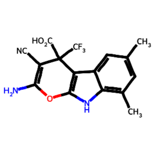 Cc1cc(C)c2[nH]c3c(c2c1)C(C(=O)O)(C(F)(F)F)C(C#N)=C(N)O3